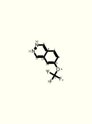 FC(F)(F)Oc1ccc2cnncc2c1